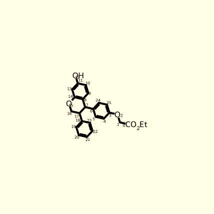 CCOC(=O)COc1ccc(C2c3ccc(O)cc3OCC2c2ccccc2)cc1